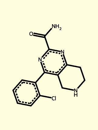 NC(=O)c1nc2c(c(-c3ccccc3Cl)n1)CNCC2